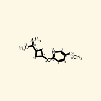 COc1ccc(OC2CC(C(C)C)C2)nc1